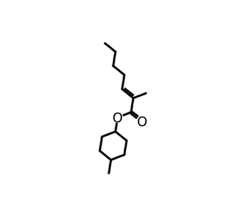 CCCCC=C(C)C(=O)OC1CCC(C)CC1